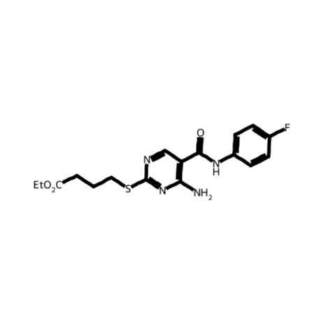 CCOC(=O)CCCSc1ncc(C(=O)Nc2ccc(F)cc2)c(N)n1